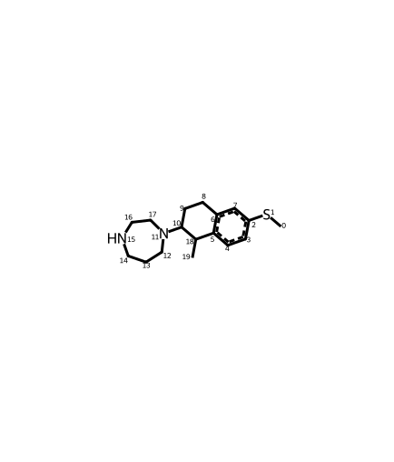 CSc1ccc2c(c1)CCC(N1CCCNCC1)C2C